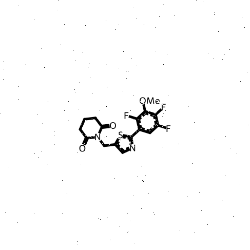 COc1c(F)c(F)cc(-c2ncc(CN3C(=O)CCCC3=O)s2)c1F